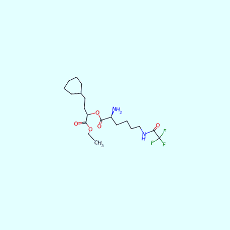 CCOC(=O)C(CCC1CCCCC1)OC(=O)[C@@H](N)CCCCNC(=O)C(F)(F)F